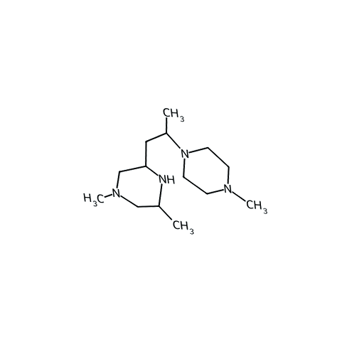 CC1CN(C)CC(CC(C)N2CCN(C)CC2)N1